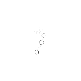 CCOC(OCC)C1=CC[CH]C(c2ccc(OCc3ccccc3)cc2)=C1